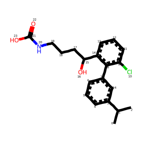 CC(C)c1cccc(-c2c(Cl)cccc2C(O)CCCNC(=O)O)c1